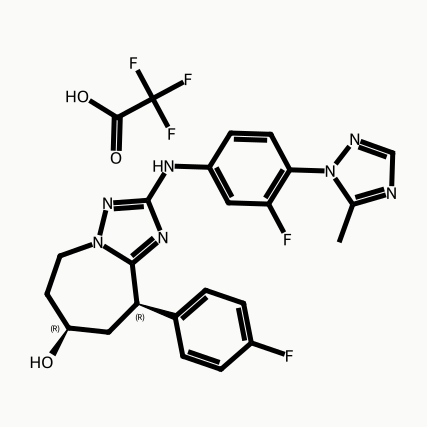 Cc1ncnn1-c1ccc(Nc2nc3n(n2)CC[C@H](O)C[C@@H]3c2ccc(F)cc2)cc1F.O=C(O)C(F)(F)F